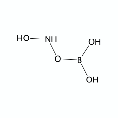 ONOB(O)O